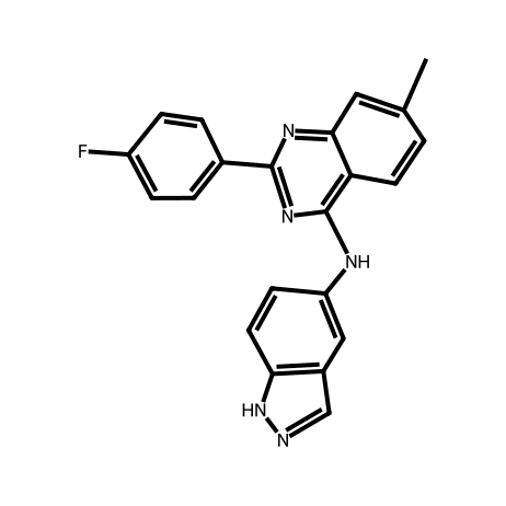 Cc1ccc2c(Nc3ccc4[nH]ncc4c3)nc(-c3ccc(F)cc3)nc2c1